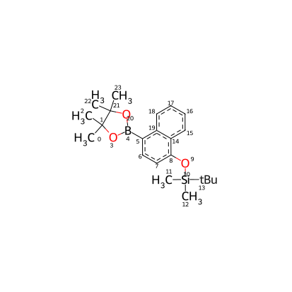 CC1(C)OB(c2ccc(O[Si](C)(C)C(C)(C)C)c3ccccc23)OC1(C)C